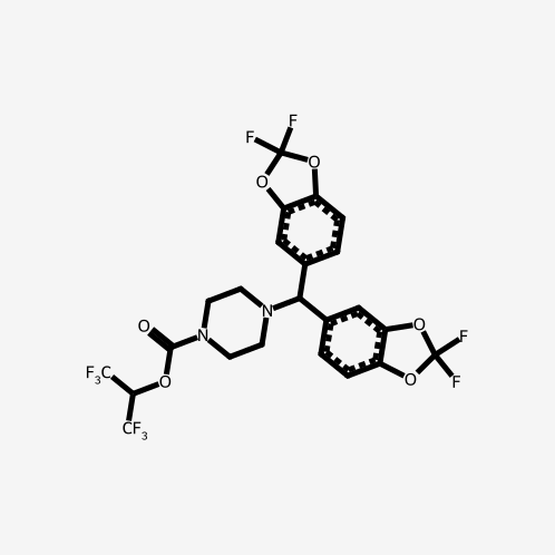 O=C(OC(C(F)(F)F)C(F)(F)F)N1CCN(C(c2ccc3c(c2)OC(F)(F)O3)c2ccc3c(c2)OC(F)(F)O3)CC1